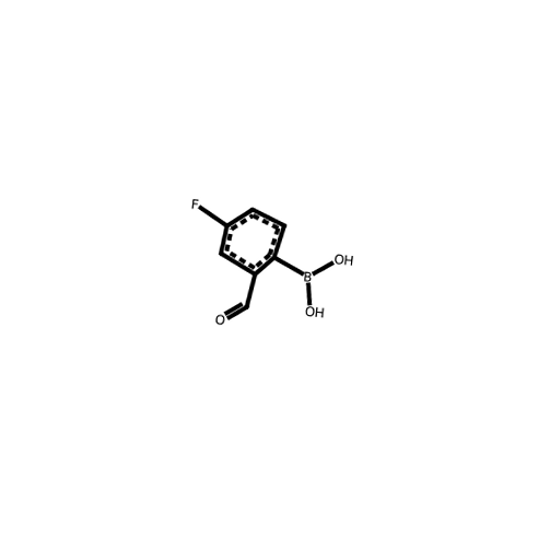 O=Cc1cc(F)ccc1B(O)O